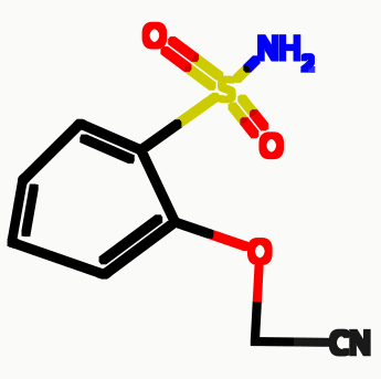 N#CCOc1ccccc1S(N)(=O)=O